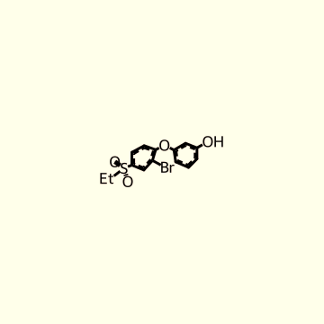 CCS(=O)(=O)c1ccc(Oc2cccc(O)c2)c(Br)c1